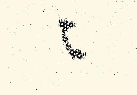 CC/C(=C(\c1ccc(Cl)cc1)c1ccc(OCCN2CCN(CCN3CCN(c4ccc5c(c4)C(=O)N(C4CCC(=O)NC4=O)C5=O)CC3)CC2)cc1)c1ccccc1